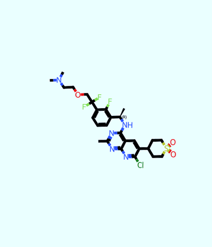 Cc1nc(N[C@H](C)c2cccc(C(F)(F)COCCN(C)C)c2F)c2cc(C3CCS(=O)(=O)CC3)c(Cl)nc2n1